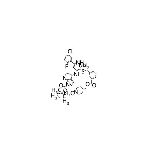 CN1CCC(COC(=O)c2cccc(CS/C(N)=C(/C=C(\N)c3cc(Cl)ccc3F)Nc3ccnc4c3ccn4C(=O)OC(C)(C)C)c2)CC1